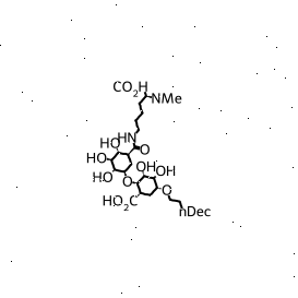 CCCCCCCCCCCCO[C@@H]1C[C@H](C(=O)O)[C@@H](O[C@@H]2C[C@H](C(=O)NCCCC[C@H](NC)C(=O)O)[C@@H](O)[C@H](O)[C@H]2O)[C@H](O)[C@H]1O